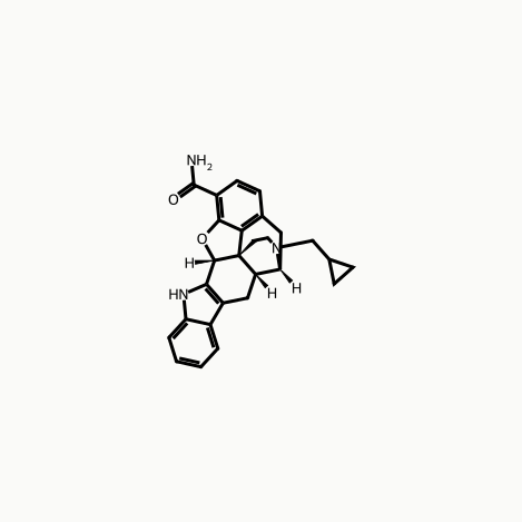 NC(=O)c1ccc2c3c1O[C@H]1c4[nH]c5ccccc5c4C[C@H]4[C@@H](C2)N(CC2CC2)CC[C@]314